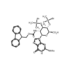 CC(=O)Nc1nc2c(ncn2[C@@H]2O[C@H](C(=O)O)[C@@H](O[Si](C)(C)C(C)C)[C@H](O[Si](C)(C)C(C)C)[C@H]2NC(=O)OCC2c3ccccc3-c3ccccc32)c(=O)[nH]1